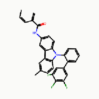 C=C(/C=C\C)C(=O)Nc1ccc2c(c1)c1cc(C)ccc1n2-c1ccccc1-c1cc(F)c(F)c(F)c1